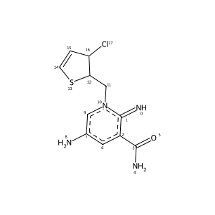 N=c1c(C(N)=O)cc(N)cn1CC1SC=CC1Cl